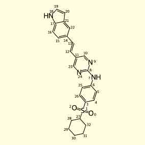 O=S(=O)(c1ccc(Nc2ncc(/C=C/c3ccc4[nH]ccc4c3)cn2)cc1)C1CCCCC1